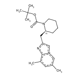 Cc1cc(C)c2nc(C[C@@H]3CCCCN3C(=O)OC(C)(C)C)cn2c1